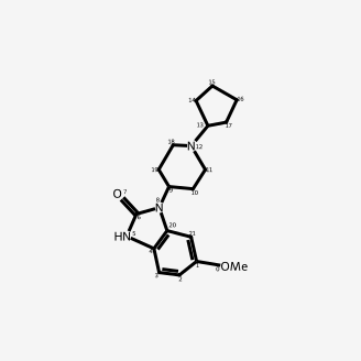 COc1ccc2[nH]c(=O)n(C3CCN(C4CCCC4)CC3)c2c1